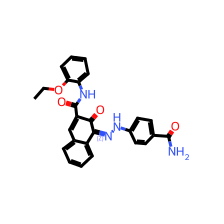 CCOc1ccccc1NC(=O)C1=Cc2ccccc2/C(=N/Nc2ccc(C(N)=O)cc2)C1=O